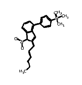 CCCCCCC1=Cc2c(-c3ccc([Si](C)(C)C)cc3)cccc2[CH]1[Zr]([Cl])[Cl]